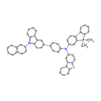 CC1(C)c2ccccc2-c2ccc(N(c3ccc(-c4ccc5c(c4)c4ccccc4n5-c4ccc5ccccc5c4)cc3)c3ccc4sc5ccccc5c4c3)cc21